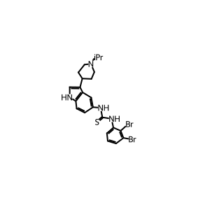 CC(C)N1CCC(c2c[nH]c3ccc(NC(=S)Nc4cccc(Br)c4Br)cc23)CC1